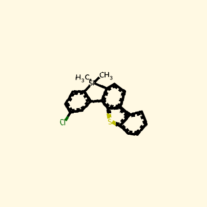 C[Si]1(C)c2ccc(Cl)cc2-c2c1ccc1c2sc2ccccc21